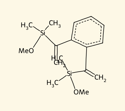 C=C(c1ccccc1C(=C)[Si](C)(C)OC)[Si](C)(C)OC